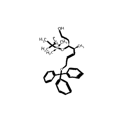 C[C@@H](/C=C/COC(c1ccccc1)(c1ccccc1)c1ccccc1)[C@H](CCO)O[Si](C)(C)C(C)(C)C